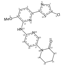 COc1ccc(-c2ncc(Cl)s2)nc1Nc1ccc(N2CCCCC2=O)cn1